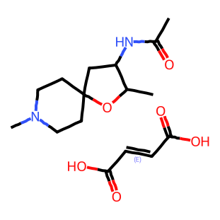 CC(=O)NC1CC2(CCN(C)CC2)OC1C.O=C(O)/C=C/C(=O)O